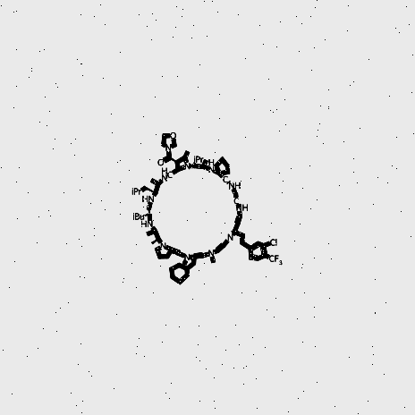 CC[C@H](C)[C@H]1CN[C@@H](CC(C)C)C(C)NCC2[C@@H](C(=O)N3CCOC3)C(C)N2[C@@H](C(C)C)C(C)NC2(CCCC2)CNCCNC=CC(CCc2ccc(C(F)(F)F)c(Cl)c2)=NC=CN(C)C=C(CC2CCCCC2)N(C)C=C2CCCN2[C@@H](C)C(C)N1